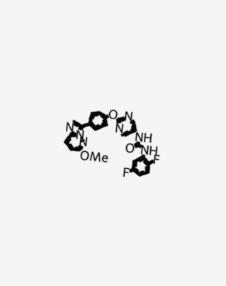 COc1ccc2ncc(-c3ccc(Oc4ncc(NC(=O)Nc5cc(F)ccc5F)cn4)cc3)n2n1